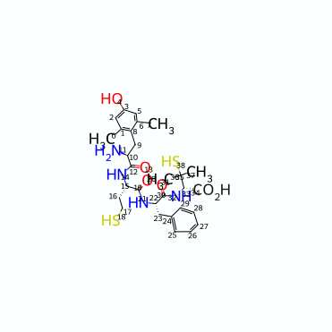 Cc1cc(O)cc(C)c1C[C@H](N)C(=O)N[C@@H](CCS)C(=O)N[C@@H](Cc1ccccc1)C(=O)N[C@@H](C(=O)O)C(C)(C)S